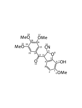 COc1ccc2c(c1O)OC(C#N)C2C(=O)c1cc(OC)c(OC)c(OC)c1